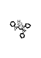 CN(C(=CC([SiH3])N(C)c1ccccc1)N(C)c1ccccc1)c1ccccc1